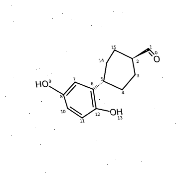 O=C[C@H]1CC[C@H](c2cc(O)ccc2O)CC1